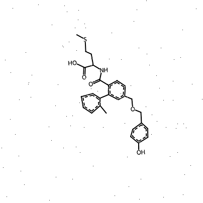 CSCCC(NC(=O)c1ccc(COCc2ccc(O)cc2)cc1-c1ccccc1C)C(=O)O